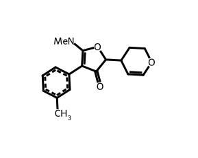 CNC1=C(c2cccc(C)c2)C(=O)C(C2C=COCC2)O1